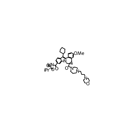 COc1ccc2c(c1)C1CC1(C(=O)N1CCCN(CCCN3CCOCC3)CC1)Cn1c-2c(C2CCCCC2)c2ccc(C(=O)NS(=O)(=O)C(C)C)cc21